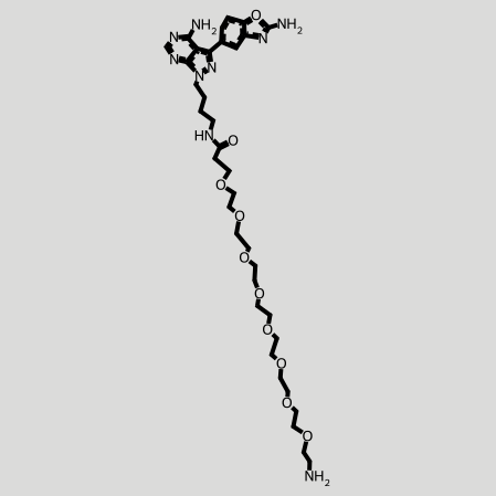 NCCOCCOCCOCCOCCOCCOCCOCCOCCC(=O)NCCCCn1nc(-c2ccc3oc(N)nc3c2)c2c(N)ncnc21